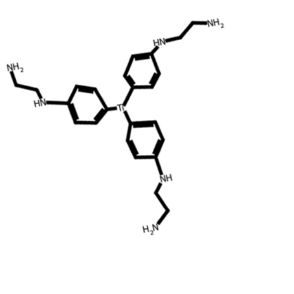 NCCNc1cc[c]([Ti]([c]2ccc(NCCN)cc2)[c]2ccc(NCCN)cc2)cc1